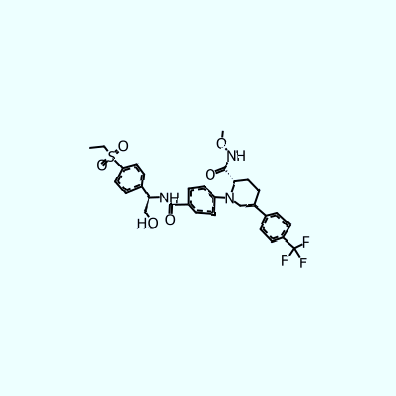 CCS(=O)(=O)c1ccc([C@H](CO)NC(=O)c2ccc(N3CC(c4ccc(C(F)(F)F)cc4)CC[C@H]3C(=O)NOC)cc2)cc1